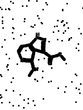 CNc1nccc2[nH]nc(C(=O)OC)c12